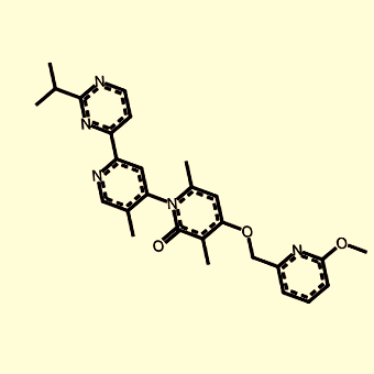 COc1cccc(COc2cc(C)n(-c3cc(-c4ccnc(C(C)C)n4)ncc3C)c(=O)c2C)n1